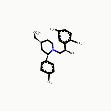 CCC[C@@H](CN1CC[C@H](CC(=O)O)C[C@@H]1c1ccc(C(F)(F)F)cc1)c1cc(C(F)(F)F)ccc1C(F)(F)F